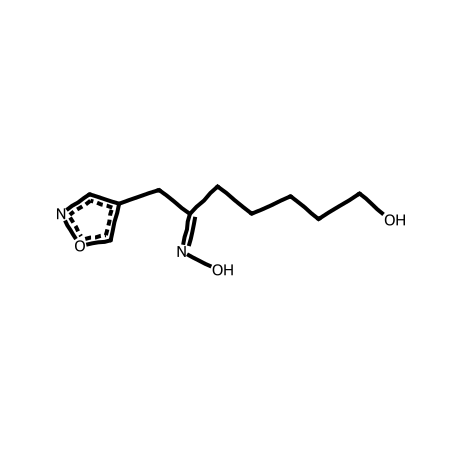 OCCCCCC(Cc1cnoc1)=NO